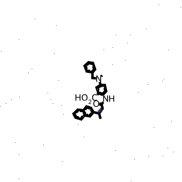 C/C(=C/C(=O)Nc1ccc(N(C)Cc2ccccc2)cc1C(=O)O)c1ccc2ccccc2c1